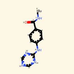 CC(C)(C)NC(=O)c1ccc(Nc2ncncn2)cc1